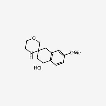 COc1ccc2c(c1)CC1(CC2)COCCN1.Cl